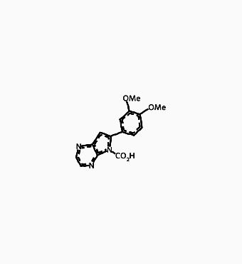 COc1ccc(-c2cc3nccnc3n2C(=O)O)cc1OC